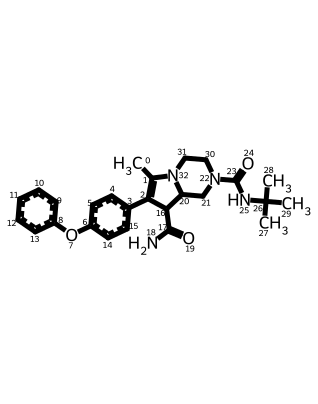 CC1=C(c2ccc(Oc3ccccc3)cc2)C(C(N)=O)C2CN(C(=O)NC(C)(C)C)CCN12